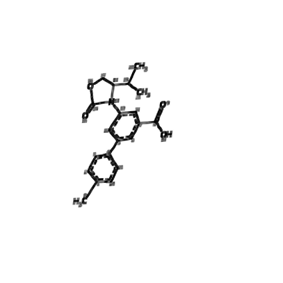 Cc1ccc(-c2cc(C(=O)O)cc(N3C(=O)OCC3C(C)C)c2)cc1